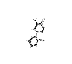 CCc1ccccc1-c1ccc(Cl)c(Cl)c1